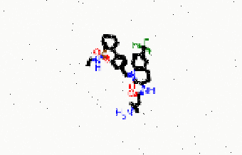 CCNS(=O)(=O)c1ccccc1-c1ccc(CN2C(=O)[C@H](NC(=O)CC(C)(C)N)CCc3cc(C(F)(F)F)ccc32)cc1